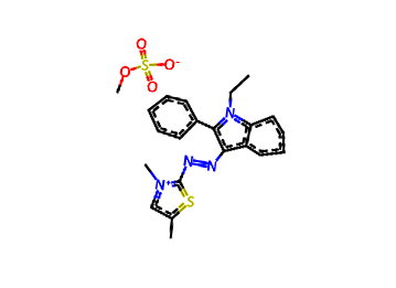 CCn1c(-c2ccccc2)c(N=Nc2sc(C)c[n+]2C)c2ccccc21.COS(=O)(=O)[O-]